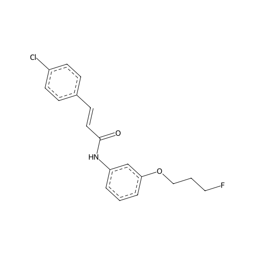 O=C(/C=C/c1ccc(Cl)cc1)Nc1cccc(OCCCF)c1